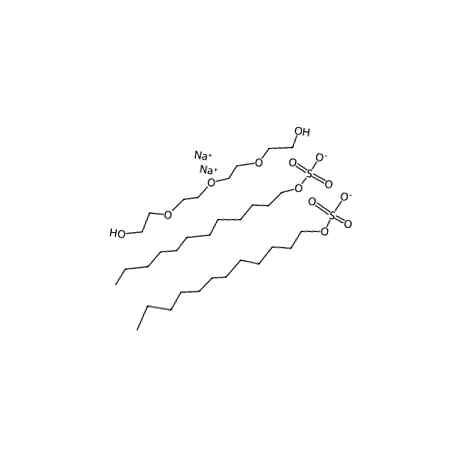 CCCCCCCCCCCCOS(=O)(=O)[O-].CCCCCCCCCCCCOS(=O)(=O)[O-].OCCOCCOCCOCCO.[Na+].[Na+]